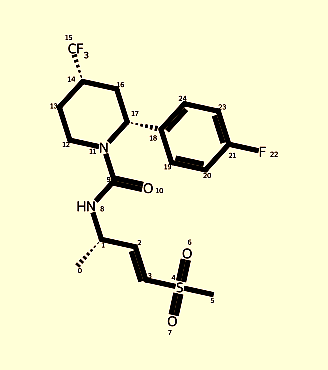 C[C@@H](/C=C/S(C)(=O)=O)NC(=O)N1CC[C@H](C(F)(F)F)C[C@@H]1c1ccc(F)cc1